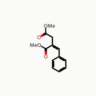 COC(=O)C/C(=C/c1ccccc1)C(=O)OC